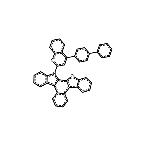 c1ccc(-c2ccc(-c3cc(-n4c5ccccc5c5c6ccccc6c6c7ccccc7oc6c54)nc4ccccc34)cc2)cc1